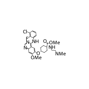 CNCCN[C@]1(C(=O)OC)CC[C@H](Oc2cc3c(Nc4cccc(Cl)c4F)ncnc3cc2OC)CC1